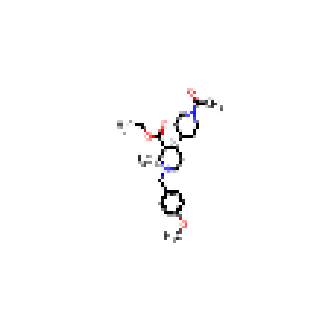 CCOC(=O)C1[C@H](C2CCN(C(C)=O)CC2)CCN(Cc2ccc(OC)cc2)[C@@H]1C